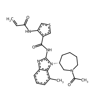 C=CC(=O)Nc1cscc1C(=O)Nc1nc2cccc(C)c2n1[C@@H]1CCCCN(C(C)=O)C1